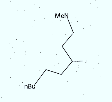 CCCCCC[C@@H](C)CCNC